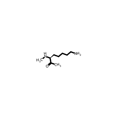 CN[C@@H](CCCCCN)C(C)=O